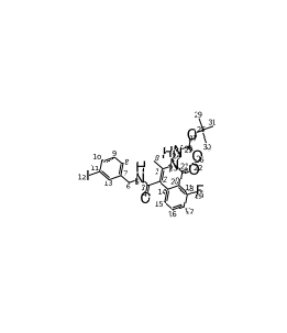 Cc1c(C(=O)NCc2cccc(I)c2)c2cccc(F)c2c(=O)n1NC(=O)OC(C)(C)C